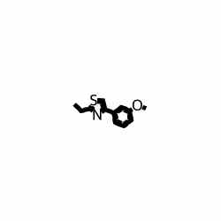 CCc1nc(-c2cccc(OC)c2)cs1